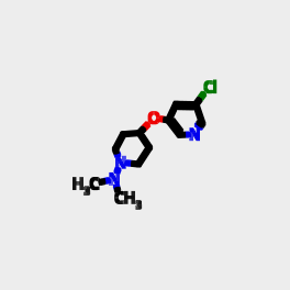 CN(C)N1CCC(Oc2cncc(Cl)c2)CC1